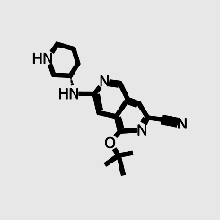 CC(C)(C)Oc1nc(C#N)cc2cnc(N[C@H]3CCCNC3)cc12